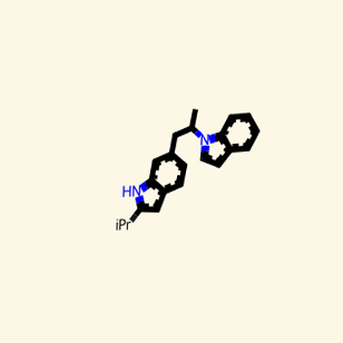 CC(C)c1cc2ccc(CC(C)n3ccc4ccccc43)cc2[nH]1